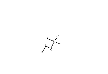 CCO[N+](C)(C)[O-]